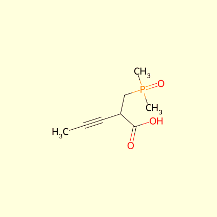 CC#CC(CP(C)(C)=O)C(=O)O